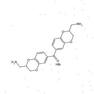 Br.NCC1COc2cc(C(=O)c3ccc4c(c3)OCC(CN)O4)ccc2O1